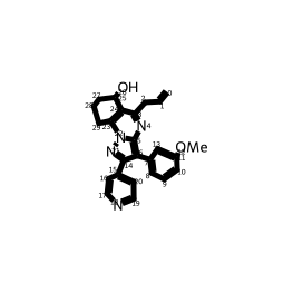 C=CCc1nc2c(-c3cccc(OC)c3)c(-c3ccncc3)nn2c2c1C(O)CCC2